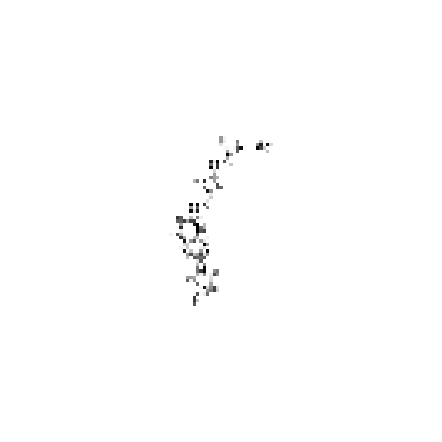 CC(=O)N[C@@H](C)CO[C@H]1C[C@H](COc2ccc3nc(N4CC[C@H](F)C4)sc3n2)C1